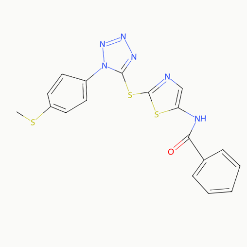 CSc1ccc(-n2nnnc2Sc2ncc(NC(=O)c3ccccc3)s2)cc1